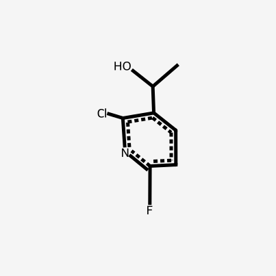 CC(O)c1ccc(F)nc1Cl